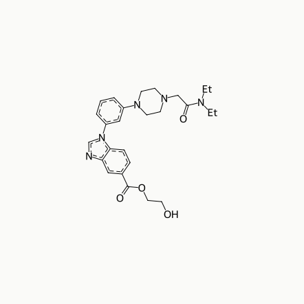 CCN(CC)C(=O)CN1CCN(c2cccc(-n3cnc4cc(C(=O)OCCO)ccc43)c2)CC1